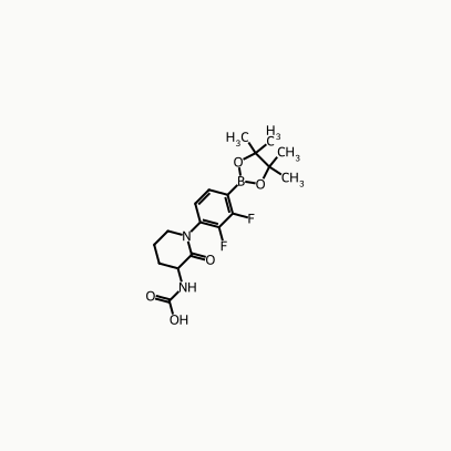 CC1(C)OB(c2ccc(N3CCCC(NC(=O)O)C3=O)c(F)c2F)OC1(C)C